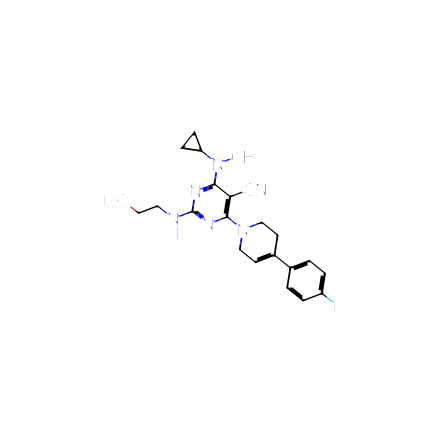 CN(c1nc(NCCO)nc(N2CC=C(c3ccc(F)cc3)CC2)c1C#N)C1CC1